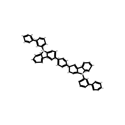 C1=c2c(n(-c3cccc(-c4ccccc4)c3)c3ccccc23)=CCC1c1ccc(-c2ccc3c(c2)c2ccccc2n3-c2cccc(-c3ccccc3)c2)cc1